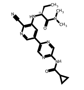 CC[C@H](Nc1cc(-c2cnc(NC(=O)C3CC3)cn2)cnc1C#N)C(=O)N(C)C